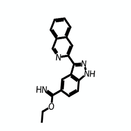 CCOC(=N)c1ccc2[nH]nc(-c3cc4ccccc4cn3)c2c1